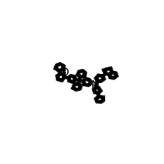 c1ccc(-c2ccc(N(c3ccc(-c4cccc5ccccc45)cc3)c3ccc4c(c3)-c3ccccc3C4(c3ccccc3)c3ccc(-c4cccc5c4oc4ccccc45)cc3)cc2)cc1